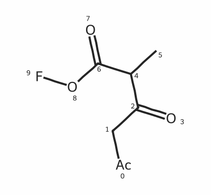 CC(=O)CC(=O)C(C)C(=O)OF